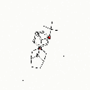 CC(C)(C)OC(=O)N1CC2CCC(C1)N2c1ccccn1